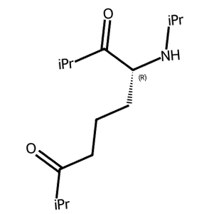 CC(C)N[C@H](CCCC(=O)C(C)C)C(=O)C(C)C